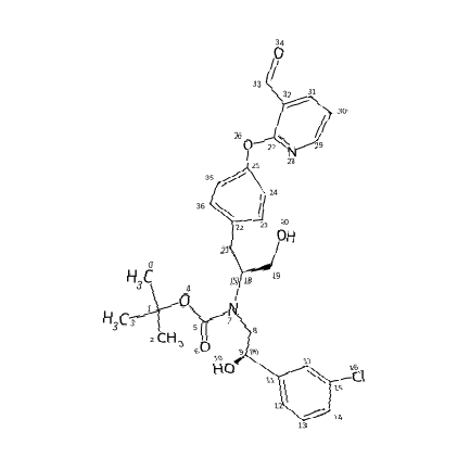 CC(C)(C)OC(=O)N(C[C@H](O)c1cccc(Cl)c1)[C@H](CO)Cc1ccc(Oc2ncccc2C=O)cc1